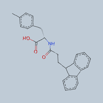 Cc1ccc(C[C@H](NC(=O)CCC2c3ccccc3-c3ccccc32)C(=O)O)cc1